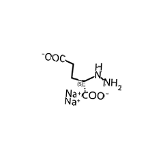 NN[C@@H](CCC(=O)[O-])C(=O)[O-].[Na+].[Na+]